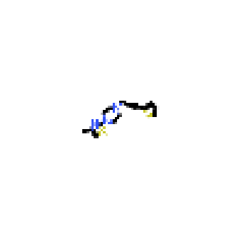 Cc1csc(N2CCN(CC#Cc3cccs3)CC2)n1